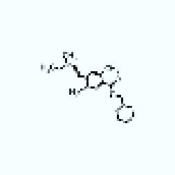 CCN(C)/C=N/c1cc(C)c(C(=O)OCC2CCCCC2)cc1C